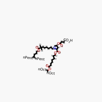 CCCCCCCCC(CCCCCCCC)OC(=O)CCCCCCCOC(=O)[C@@H]1C[C@H](OC(=O)CCC(=O)O)CN1CCCCCCC(C)(C)C(=O)OCCCC(CCCCC)CCCCC